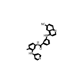 Cc1ccc(NC(=O)c2cccc(Nc3ccnc4ccc(C#N)cc34)c2)cc1Nc1ccncc1